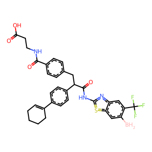 Bc1cc2sc(NC(=O)C(Cc3ccc(C(=O)NCCC(=O)O)cc3)c3ccc(C4=CCCCC4)cc3)nc2cc1C(F)(F)F